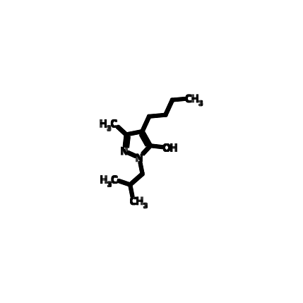 CCCCc1c(C)nn(CC(C)C)c1O